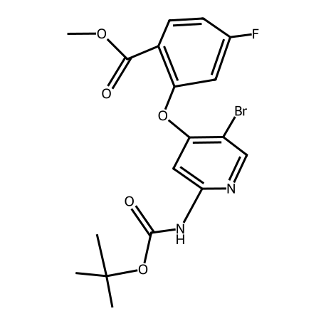 COC(=O)c1ccc(F)cc1Oc1cc(NC(=O)OC(C)(C)C)ncc1Br